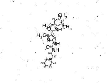 Cc1cc(C)c(NC(=O)c2sc(NC(=O)NCCc3ccccc3)nc2C)c(C)c1